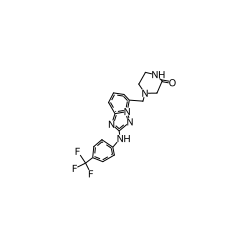 O=C1CN(Cc2cccc3nc(Nc4ccc(C(F)(F)F)cc4)nn23)CCN1